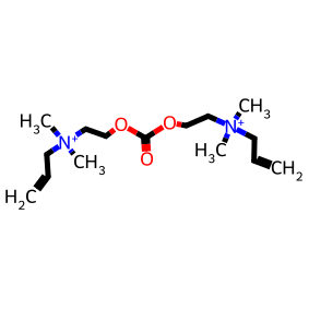 C=CC[N+](C)(C)CCOC(=O)OCC[N+](C)(C)CC=C